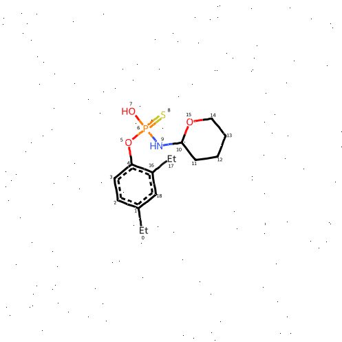 CCc1ccc(OP(O)(=S)NC2CCCCO2)c(CC)c1